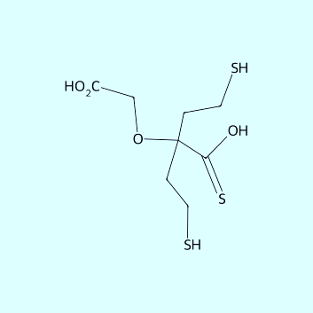 O=C(O)COC(CCS)(CCS)C(O)=S